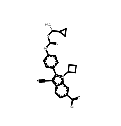 C[C@@H](OC(=O)Nc1ccc(-c2c(C#N)c3ccc(C(=O)O)cc3n2C2CCC2)cc1)C1CC1